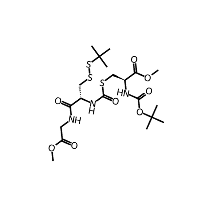 COC(=O)CNC(=O)[C@H](CSSC(C)(C)C)NC(=O)SC[C@H](NC(=O)OC(C)(C)C)C(=O)OC